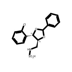 O=S(=O)(O)NC[C@@H]1OC(c2ccccc2)O[C@H]1c1ccccc1Cl